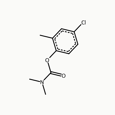 Cc1cc(Cl)ccc1OC(=O)N(C)C